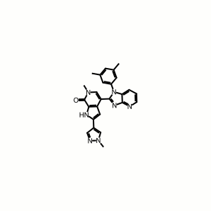 Cc1cc(C)cc(-n2c(-c3cn(C)c(=O)c4[nH]c(-c5cnn(C)c5)cc34)nc3ncccc32)c1